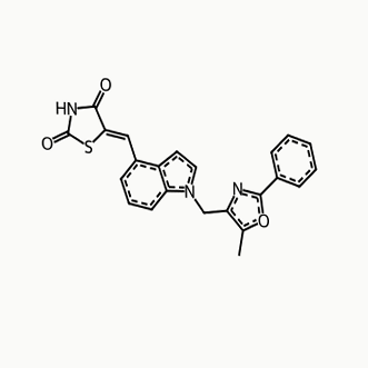 Cc1oc(-c2ccccc2)nc1Cn1ccc2c(C=C3SC(=O)NC3=O)cccc21